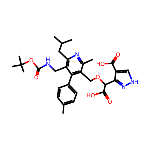 Cc1ccc(-c2c(COC(C(=O)O)c3n[nH]cc3C(=O)O)c(C)nc(CC(C)C)c2CNC(=O)OC(C)(C)C)cc1